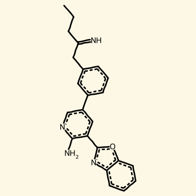 CCCC(=N)Cc1cccc(-c2cnc(N)c(-c3nc4ccccc4o3)c2)c1